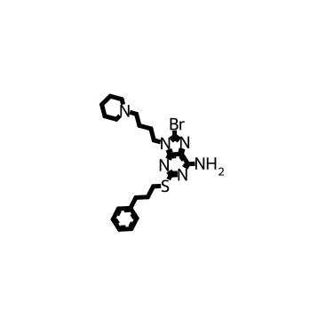 Nc1nc(SCCCc2ccccc2)nc2c1nc(Br)n2CCCCN1CCCCC1